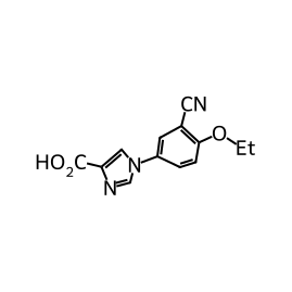 CCOc1ccc(-n2cnc(C(=O)O)c2)cc1C#N